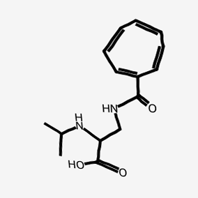 CC(C)NC(CNC(=O)C1=C/C=C\C=C/C=C\1)C(=O)O